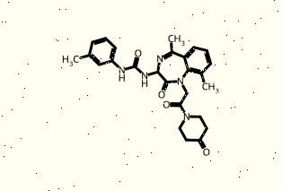 CC1=NC(NC(=O)Nc2cccc(C)c2)C(=O)N(CC(=O)N2CCC(=O)CC2)c2c(C)cccc21